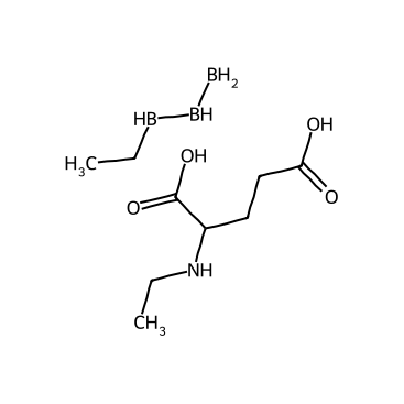 BBBCC.CCNC(CCC(=O)O)C(=O)O